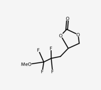 COC(F)(F)C(F)(F)CC1COC(=O)O1